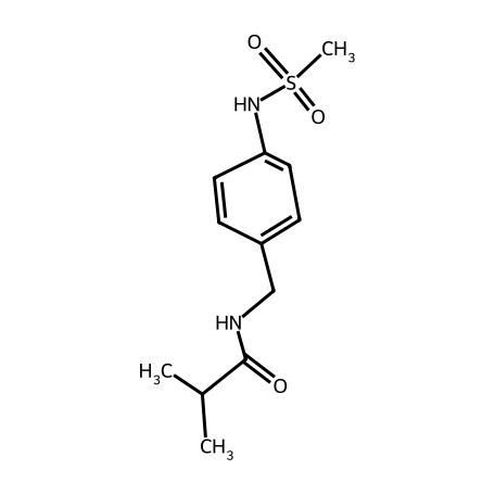 CC(C)C(=O)NCc1ccc(NS(C)(=O)=O)cc1